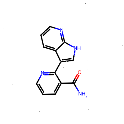 NC(=O)c1cccnc1-c1c[nH]c2ncccc12